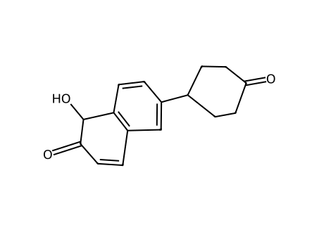 O=C1CCC(c2ccc3c(c2)C=CC(=O)C3O)CC1